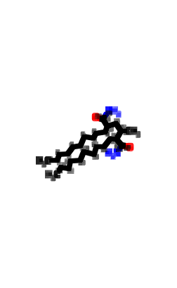 CCCCCCCCCCC(CC(C)C(CCCCCCCCCC)C(N)=O)C(N)=O